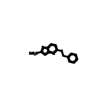 CCOC(=O)c1cn2nc(SCc3ccccc3)ccc2n1